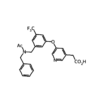 CC(=O)N(Cc1ccccc1)Cc1cc(Oc2cncc(CC(=O)O)c2)cc(C(F)(F)F)c1